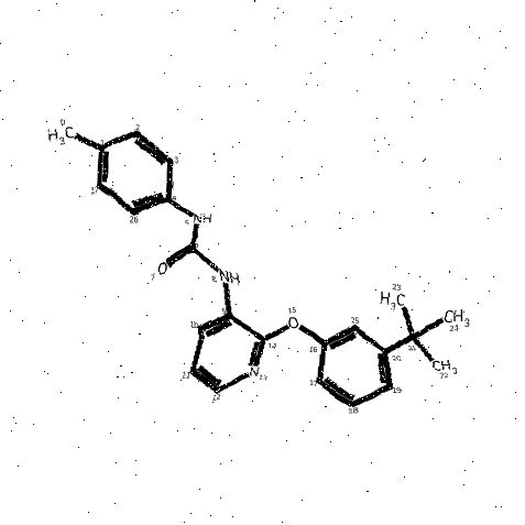 Cc1ccc(NC(=O)Nc2cccnc2Oc2cccc(C(C)(C)C)c2)cc1